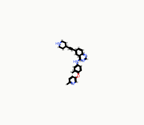 Cc1ccc(Oc2ccc(Nc3ncnc4ccc(C#CC5CCNCC5)cc34)cc2C)cn1